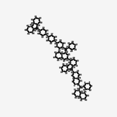 c1ccc(N(c2ccc3cc(-n4c5ccccc5c5c(-c6cc(N(c7ccccc7)c7ccc(-c8ccc(-c9ccc(-n%10c%11ccccc%11c%11ccccc%11%10)cc9)cc8)cc7)c7ccccc7c6)cccc54)ccc3c2)c2cccc3ccccc23)cc1